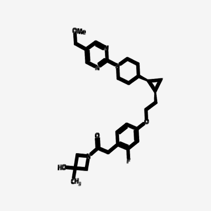 COCc1cnc(N2CCC([C@H]3C[C@H]3CCOc3ccc(CC(=O)N4CC(C)(O)C4)c(F)c3)CC2)nc1